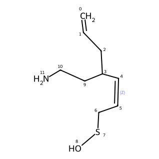 C=CCC(/C=C\CSO)CCN